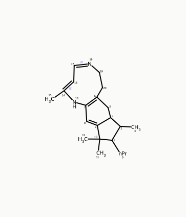 CCCC1C(C)C2CC3=C(C=C2C1(C)C)N/C(C)=C/C=N\CC3